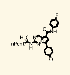 CCCCCC(C)Nc1ncc2c(C(=O)Nc3ccc(F)cc3)cc(C3CCC(=O)CC3)n2n1